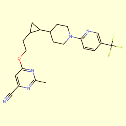 Cc1nc(C#N)cc(OCCC2CC2C2CCN(c3ccc(C(F)(F)F)cn3)CC2)n1